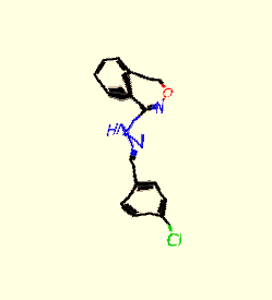 Clc1ccc(C=NNC2=NOCc3ccccc32)cc1